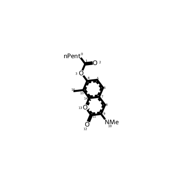 CCCCCC(=O)Oc1ccc2cc(NC)c(=O)oc2c1C